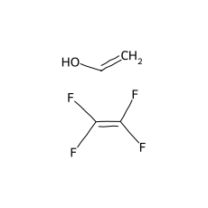 C=CO.FC(F)=C(F)F